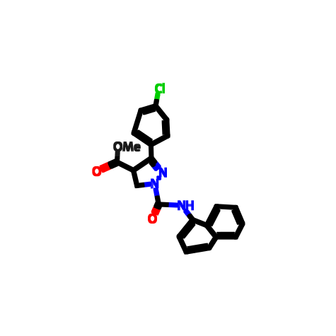 COC(=O)C1CN(C(=O)Nc2cccc3ccccc23)N=C1c1ccc(Cl)cc1